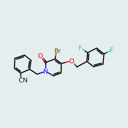 N#Cc1ccccc1Cn1ccc(OCc2ccc(F)cc2F)c(Br)c1=O